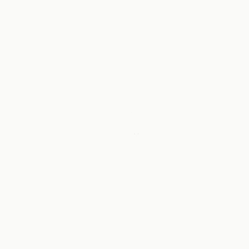 Cl.O=C(O)C1OC=CO1